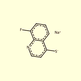 Fc1cccc2c([S-])ccnc12.[Na+]